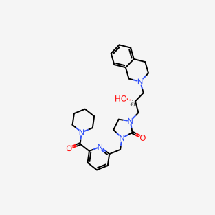 O=C(c1cccc(CN2CCN(C[C@H](O)CN3CCc4ccccc4C3)C2=O)n1)N1CCCCC1